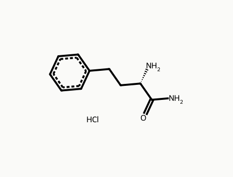 Cl.NC(=O)[C@@H](N)CCc1ccccc1